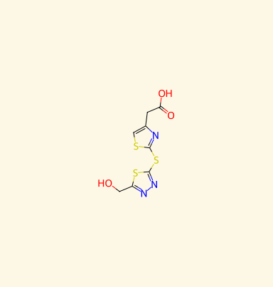 O=C(O)Cc1csc(Sc2nnc(CO)s2)n1